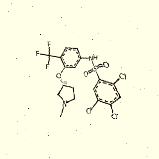 CN1CC[C@@H](Oc2cc(NS(=O)(=O)c3cc(Cl)c(Cl)cc3Cl)ccc2C(F)(F)F)C1